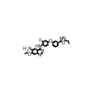 CCOc1cc2ncnc(Nc3ccc(Oc4cccc(-c5nnc(CC)o5)c4)cc3F)c2cc1N